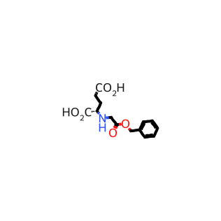 O=C(O)CC[C@H](NCC(=O)OCc1ccccc1)C(=O)O